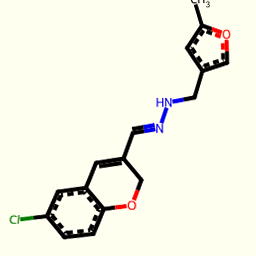 Cc1cc(CN/N=C/C2=Cc3cc(Cl)ccc3OC2)co1